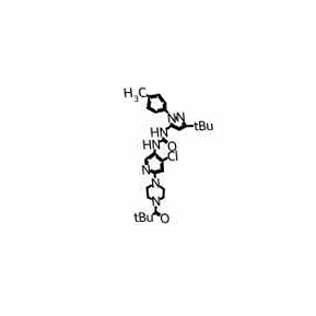 Cc1ccc(-n2nc(C(C)(C)C)cc2NC(=O)Nc2cnc(N3CCN(C(=O)C(C)(C)C)CC3)cc2Cl)cc1